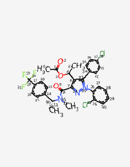 CC(=O)OC(C)c1c(C(=O)N(C)[C@H](C)c2ccc(C(F)(F)F)cc2)nn(-c2ccccc2Cl)c1-c1ccc(Cl)cc1